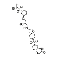 CCNS(=O)(=O)c1cccc(OCC(O)CNC2COC3(CCN(S(=O)(=O)c4ccc5c(c4)NC(=O)CO5)CC3)C2)c1